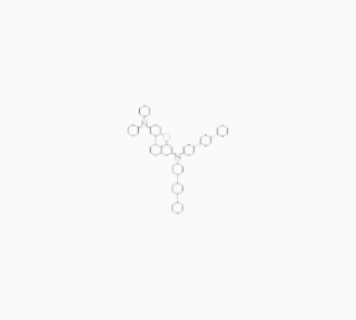 c1ccc(-c2ccc(-c3ccc(N(c4ccc(-c5ccc(-c6ccccc6)cc5)cc4)c4cc5c6c(cccc6c4)-c4cc(N(c6ccccc6)c6ccccc6)ccc4O5)cc3)cc2)cc1